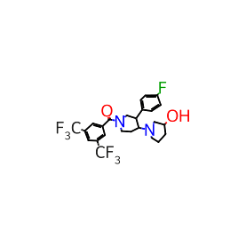 O=C(c1cc(C(F)(F)F)cc(C(F)(F)F)c1)N1CCC(N2CCCC(O)C2)C(c2ccc(F)cc2)C1